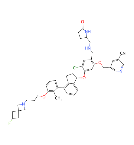 Cc1c(OCCCN2CC3(CC(F)C3)C2)cccc1-c1cccc2c1CC[C@@H]2Oc1cc(OCc2cncc(C#N)c2)c(CNCC2CCC(=O)N2)cc1Cl